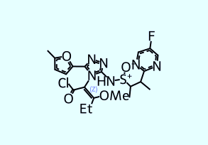 CC/C(OC)=C(\C(=O)Cl)n1c(N[S+]([O-])C(C)C(C)c2ncc(F)cn2)nnc1-c1ccc(C)o1